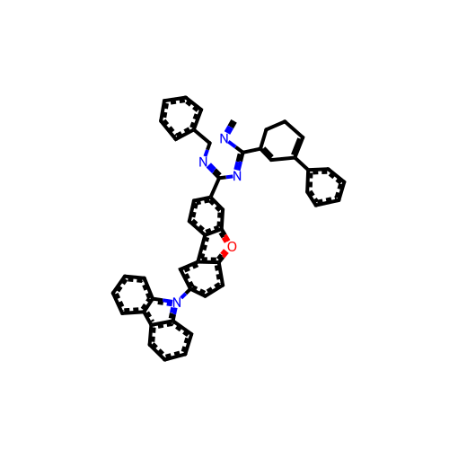 C=N/C(=N\C(=N/Cc1ccccc1)c1ccc2c(c1)oc1ccc(-n3c4ccccc4c4ccccc43)cc12)C1=CC(c2ccccc2)=CCC1